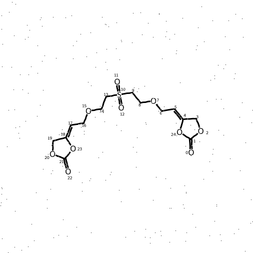 O=C1OC/C(=C/COCCS(=O)(=O)CCOC/C=C2/COC(=O)O2)O1